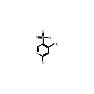 Cc1cc(Br)ncc1S(=O)(=O)Cl